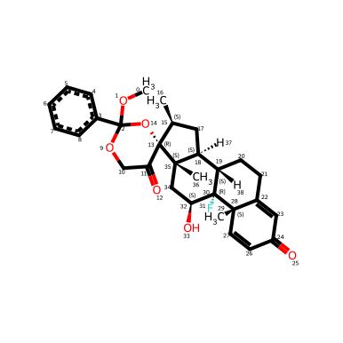 COC1(c2ccccc2)OCC(=O)[C@@]2(O1)[C@@H](C)C[C@H]1[C@@H]3CCC4=CC(=O)C=C[C@]4(C)[C@@]3(F)[C@@H](O)C[C@@]12C